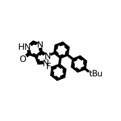 CC(C)(C)c1ccc(-c2cccc(-n3ncc4c(=O)[nH]cnc43)c2-c2ccccc2F)cc1